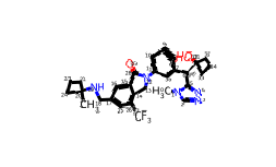 Cn1cnnc1[C@@H](c1cccc(N2Cc3c(cc(CNC4(C)CCC4)cc3C(F)(F)F)C2=O)c1)C1(O)CCC1